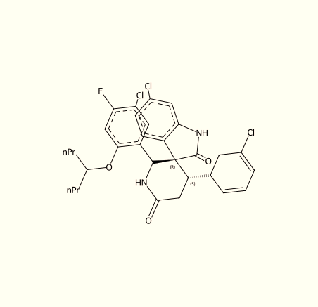 CCCC(CCC)Oc1cc(F)c(Cl)cc1C1NC(=O)C[C@@H](C2C=CC=C(Cl)C2)[C@]12C(=O)Nc1cc(Cl)ccc12